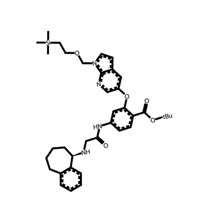 CC(C)(C)OC(=O)c1ccc(NC(=O)CN[C@@H]2CCCCc3ccccc32)cc1Oc1cnc2c(ccn2COCC[Si](C)(C)C)c1